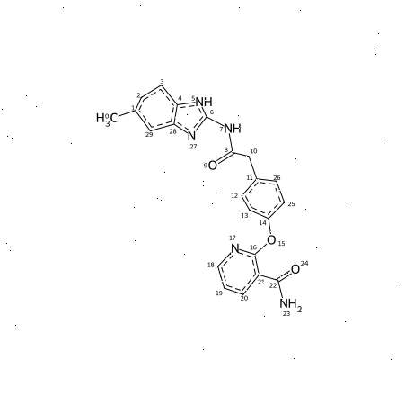 Cc1ccc2[nH]c(NC(=O)Cc3ccc(Oc4ncccc4C(N)=O)cc3)nc2c1